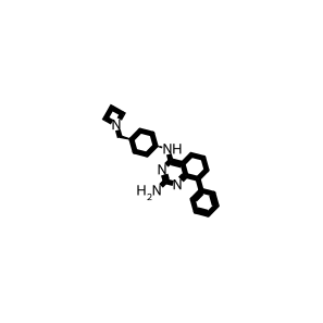 Nc1nc(N[C@H]2CC[C@H](CN3CCC3)CC2)c2c(n1)C(c1ccccc1)CCC2